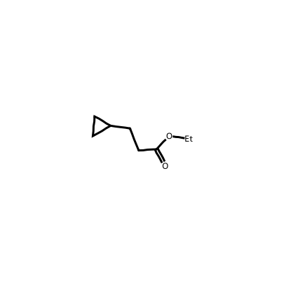 CCOC(=O)CCC1CC1